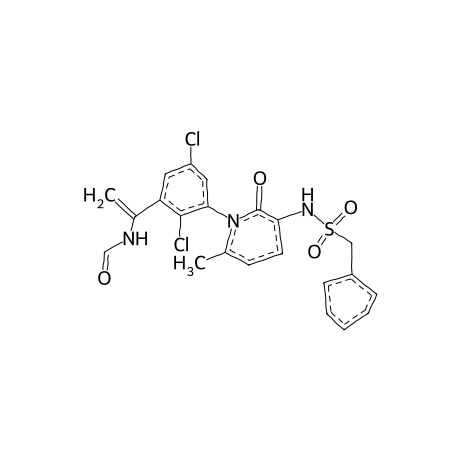 C=C(NC=O)c1cc(Cl)cc(-n2c(C)ccc(NS(=O)(=O)Cc3ccccc3)c2=O)c1Cl